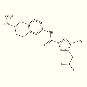 CCCc1cc(C(=O)Nc2ccc3c(c2)CCC(NC(=O)O)C3)nn1CC(F)F